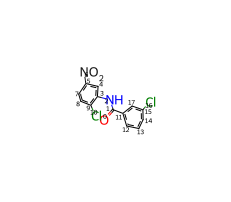 O=C(Nc1cc([N+](=O)[O-])ccc1Cl)c1cccc(Cl)c1